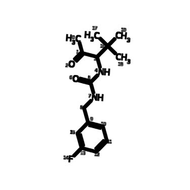 CC(=O)C(NC(=O)NCc1cccc(F)c1)C(C)(C)C